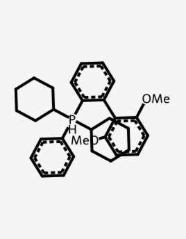 COc1cccc(OC)c1-c1ccccc1[PH](c1ccccc1)(C1CCCCC1)C1CCCCC1